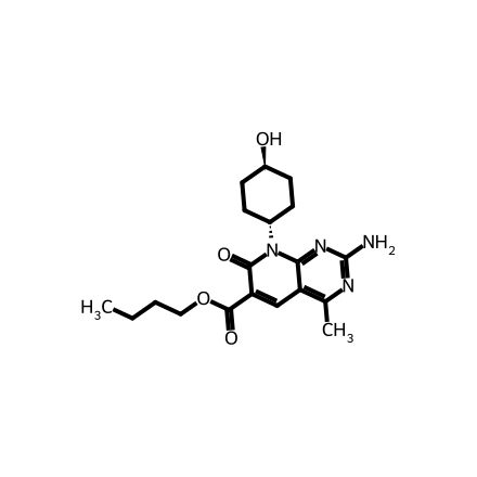 CCCCOC(=O)c1cc2c(C)nc(N)nc2n([C@H]2CC[C@H](O)CC2)c1=O